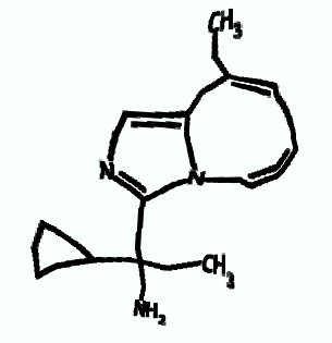 Cc1cccn2c(C(C)(N)C3CC3)ncc12